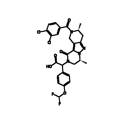 C[C@@H]1Cc2nn3c(c2CN1C(=O)c1ccc(Cl)c(Cl)c1)C(=O)N(C(C(=O)O)c1ccc(OC(F)F)cc1)C[C@H]3C